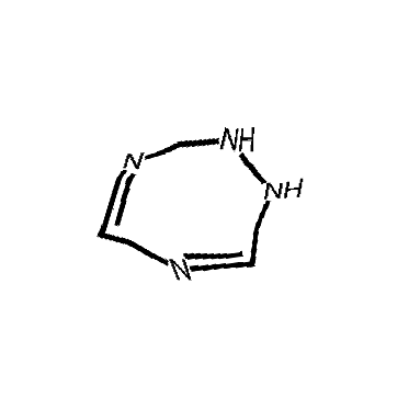 C1=NC=NNN1